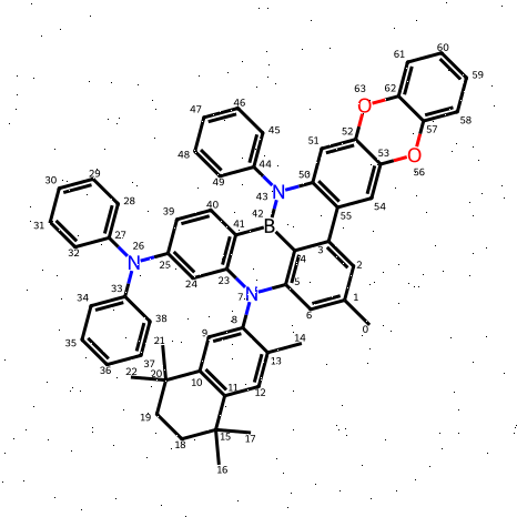 Cc1cc2c3c(c1)N(c1cc4c(cc1C)C(C)(C)CCC4(C)C)c1cc(N(c4ccccc4)c4ccccc4)ccc1B3N(c1ccccc1)c1cc3c(cc1-2)Oc1ccccc1O3